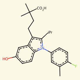 Cc1cc(-n2c(C(C)C)c(CCC(C)(C)C(=O)O)c3cc(O)ccc32)ccc1F